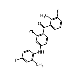 Cc1cc(F)ccc1Nc1ccc(C(=O)c2cccc(F)c2C)c(Cl)c1